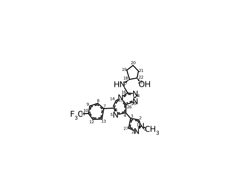 Cn1cc(-c2nc(-c3ccc(C(F)(F)F)cc3)cn3c(N[C@H]4CCC[C@H]4O)nnc23)cn1